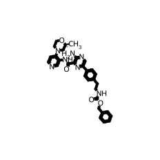 C[C@H]1CN(c2ccncc2NC(=O)c2nc(-c3ccc(CCNC(=O)OCc4ccccc4)cc3)cnc2N)CCO1